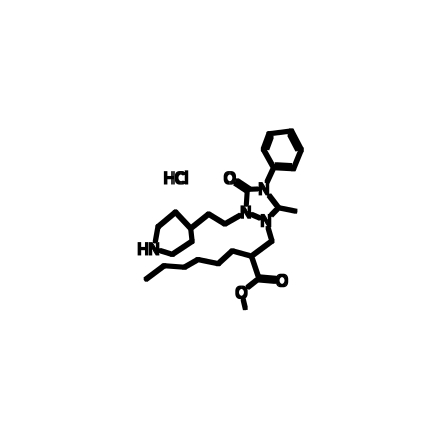 CCCCCCC(CN1C(C)N(c2ccccc2)C(=O)N1CCC1CCNCC1)C(=O)OC.Cl